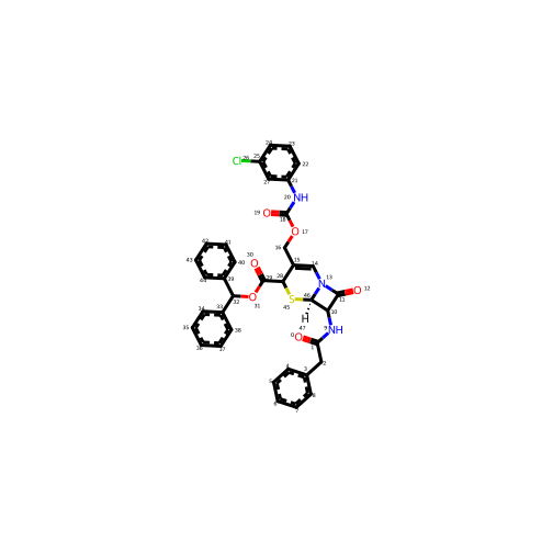 O=C(Cc1ccccc1)NC1C(=O)N2C=C(COC(=O)Nc3cccc(Cl)c3)C(C(=O)OC(c3ccccc3)c3ccccc3)S[C@H]12